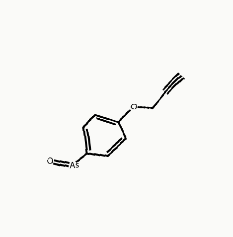 C#CCOc1ccc([As]=O)cc1